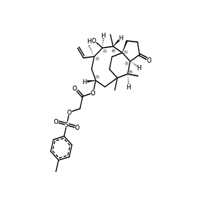 C=C[C@]1(C)C[C@@H](OC(=O)COS(=O)(=O)c2ccc(C)cc2)CC2(C)CC[C@]3(CCC(=O)[C@H]3[C@H]2C)[C@@H](C)[C@@H]1O